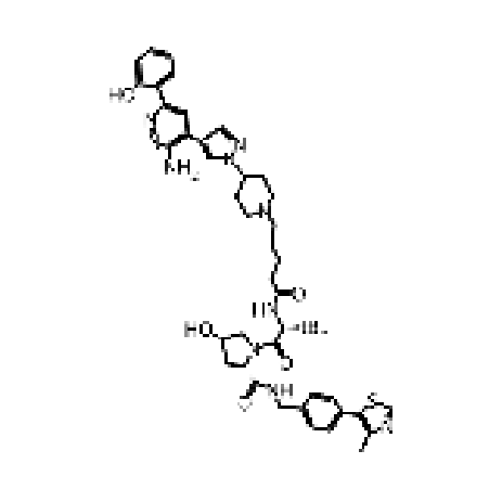 Cc1ncsc1-c1ccc(CNC(=O)[C@@H]2C[C@@H](O)CN2C(=O)[C@@H](NC(=O)CCCCN2CCC(n3cc(-c4cc(-c5ccccc5O)nnc4N)cn3)CC2)C(C)(C)C)cc1